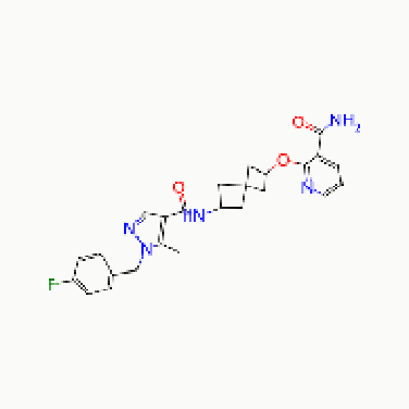 Cc1c(C(=O)NC2CC3(C2)CC(Oc2ncccc2C(N)=O)C3)cnn1Cc1ccc(F)cc1